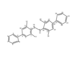 Cc1cc(-c2ccccc2)cc(C)c1SSc1c(C)cc(-c2ccccc2)cc1C